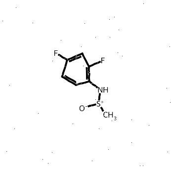 C[S+]([O-])Nc1ccc(F)cc1F